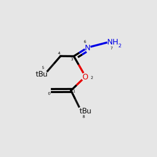 C=C(O/C(CC(C)(C)C)=N\N)C(C)(C)C